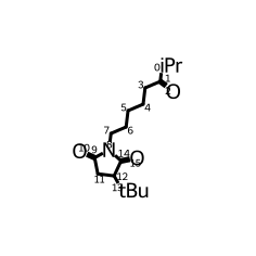 CC(C)C(=O)CCCCCN1C(=O)CC(C(C)(C)C)C1=O